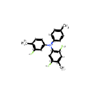 Cc1ccc(N(c2ccc(C)c(F)c2)c2cc(F)c(C)cc2F)cc1